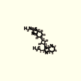 CCc1nc2cccnc2n1C1CC(c2ccc3sc(N)nc3c2)C1